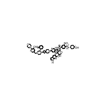 COc1cc(CN2CCN(C3CC4(CCN(c5cc(N6c7cc8cc[nH]c8nc7O[C@H]7COCC[C@@H]76)c(C(=O)NS(=O)(=O)c6ccc(NC[C@H]7CC[C@](C)(O)CC7)c([N+](=O)[O-])c6)cn5)CC4)C3)[C@H](c3ccccc3C)C2)cnc1N1CCOCC1